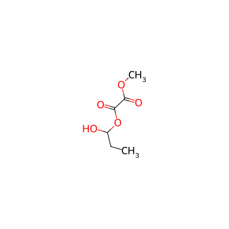 CCC(O)OC(=O)C(=O)OC